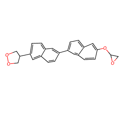 c1cc2cc(-c3ccc4cc(C5COOC5)ccc4c3)ccc2cc1OC1CO1